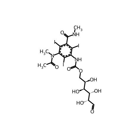 CNC(=O)c1c(I)c(NC(=O)OC[C@@H](O)[C@H](O)[C@H](O)[C@@H](O)C=O)c(I)c(N(C)C(C)=O)c1I